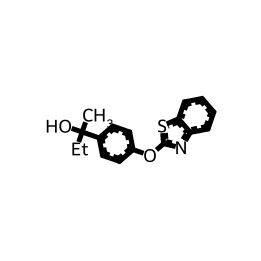 CCC(C)(O)c1ccc(Oc2nc3ccccc3s2)cc1